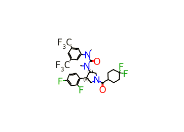 CN(C(=O)N(C)[C@@H]1CN(C(=O)C2CCC(F)(F)CC2)C[C@H]1c1ccc(F)cc1F)c1cc(C(F)(F)F)cc(C(F)(F)F)c1